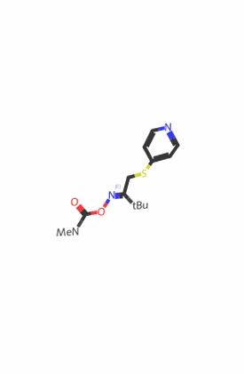 CNC(=O)O/N=C(/CSc1ccncc1)C(C)(C)C